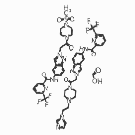 CS(=O)(=O)N1CCN(C(=O)Cn2cc3cc(NC(=O)c4cccc(C(F)(F)F)n4)ccc3n2)CC1.O=C(Nc1ccc2nn(CC(=O)N3CCN(CCn4ccnc4)CC3)cc2c1)c1cccc(C(F)(F)F)n1.O=CO